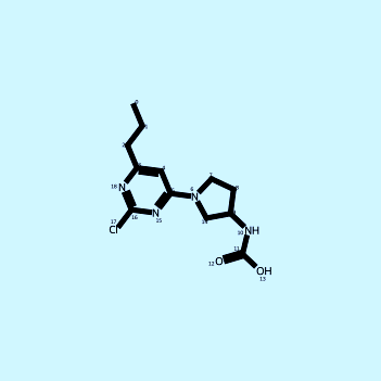 CCCc1cc(N2CCC(NC(=O)O)C2)nc(Cl)n1